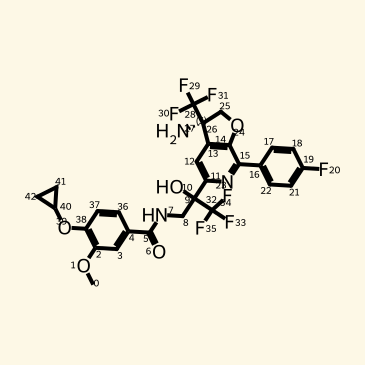 COc1cc(C(=O)NCC(O)(c2cc3c(c(-c4ccc(F)cc4)n2)OC[C@]3(N)C(F)(F)F)C(F)(F)F)ccc1OC1CC1